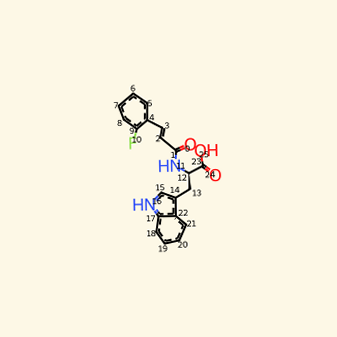 O=C(/C=C/c1ccccc1F)N[C@H](Cc1c[nH]c2ccccc12)C(=O)O